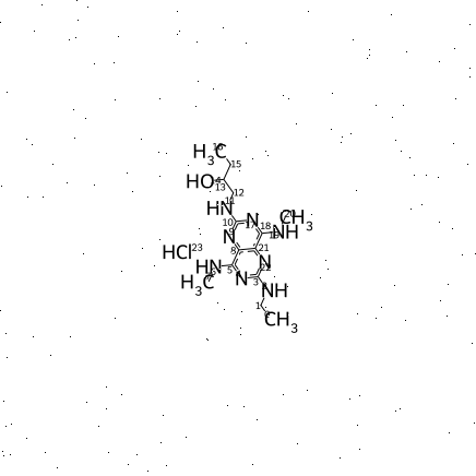 CCNc1nc(NC)c2nc(NCC(O)CC)nc(NC)c2n1.Cl